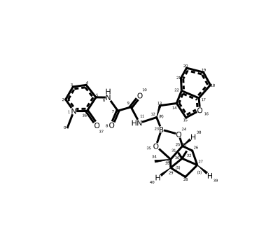 Cn1cccc(NC(=O)C(=O)N[C@@H](Cc2coc3ccccc23)B2O[C@@H]3C[C@@H]4C[C@@H](C4(C)C)[C@]3(C)O2)c1=O